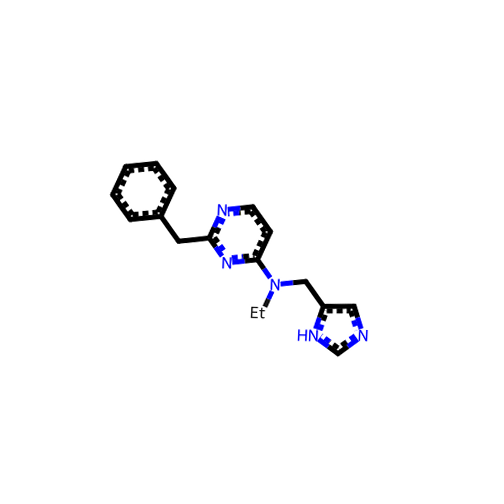 CCN(Cc1cnc[nH]1)c1ccnc(Cc2ccccc2)n1